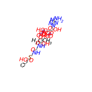 CC(C)(COP(=O)(O)OP(=O)(O)OC[C@H]1O[C@@H](n2cnc3c(N)ncnc32)[C@H](O)[C@@H]1OP(=O)(O)O)C(O)C(=O)NCCC(=O)NCCSC(=O)C(O)=Cc1ccccc1